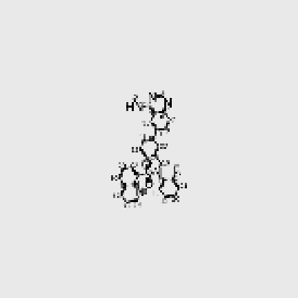 CNc1ncnc2ccc(-c3cccc(CN(c4ccccc4F)S(=O)(=O)c4cccc5cccnc45)c3)cc12